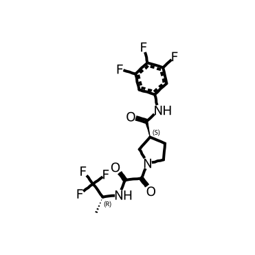 C[C@@H](NC(=O)C(=O)N1CC[C@H](C(=O)Nc2cc(F)c(F)c(F)c2)C1)C(F)(F)F